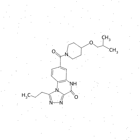 CCCc1nnc2c(=O)[nH]c3cc(C(=O)N4CCC(OCC(C)C)CC4)ccc3n12